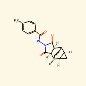 O=C(NN1C(=O)[C@@H]2[C@@H]3C=CC([C@H]4C[C@@H]34)[C@@H]2C1=O)c1ccc(C(F)(F)F)cc1